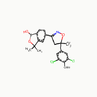 COc1c(Cl)cc(C2(C(F)(F)F)CC(c3ccc4c(c3)C(C)(C)OB4O)=NO2)cc1Cl